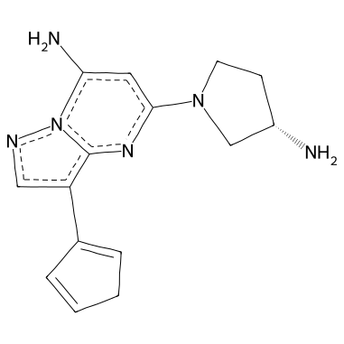 Nc1cc(N2CC[C@H](N)C2)nc2c(C3=CCC=C3)cnn12